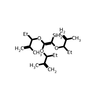 C=C(C)C(CC)OC([SiH3])=C(OC(CC)C(=C)C)OC(CC)C(=C)C